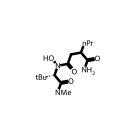 CCCC(CC(=O)N(O)[C@H](C(=O)NC)C(C)(C)C)C(N)=O